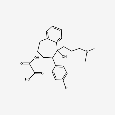 CN(C)CCCC1(O)c2ccccc2CCCC1c1ccc(Br)cc1.O=C(O)C(=O)O